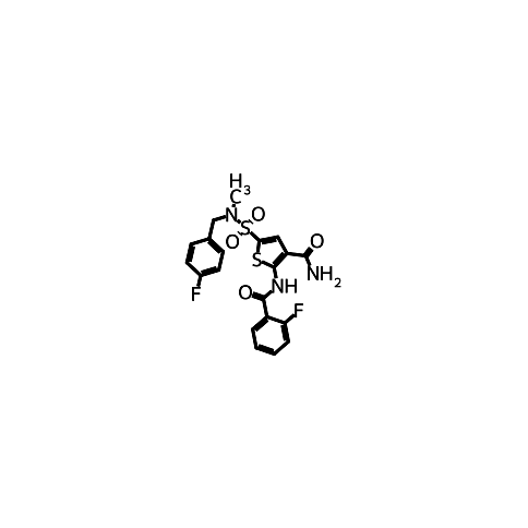 CN(Cc1ccc(F)cc1)S(=O)(=O)c1cc(C(N)=O)c(NC(=O)c2ccccc2F)s1